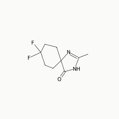 CC1=NC2(CCC(F)(F)CC2)C(=O)N1